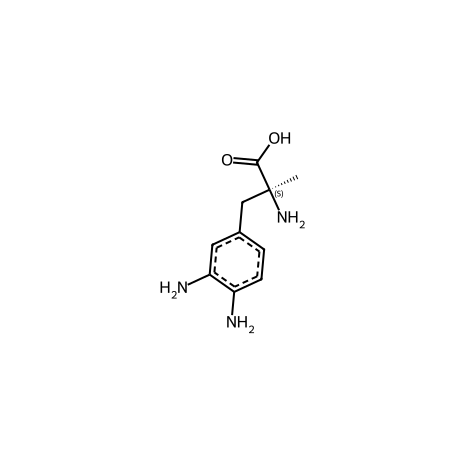 C[C@](N)(Cc1ccc(N)c(N)c1)C(=O)O